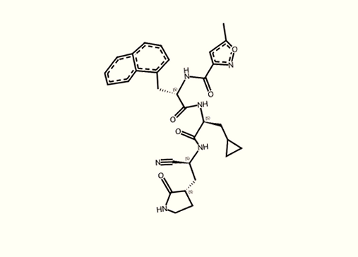 Cc1cc(C(=O)N[C@@H](Cc2cccc3ccccc23)C(=O)N[C@@H](CC2CC2)C(=O)N[C@H](C#N)C[C@@H]2CCNC2=O)no1